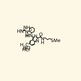 CSCCCNC(=O)c1nc(NC2CCCCC2NC(=N)N)c2cc(C)ccc2n1.Cl.Cl